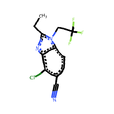 CCc1nc2c(Cl)c(C#N)ccc2n1CC(F)(F)F